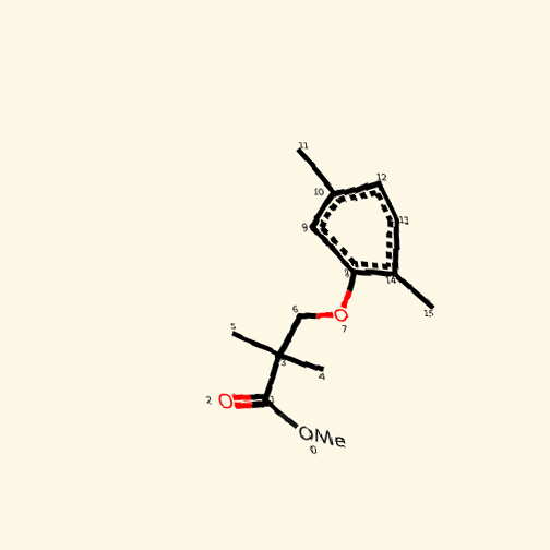 COC(=O)C(C)(C)COc1cc(C)ccc1C